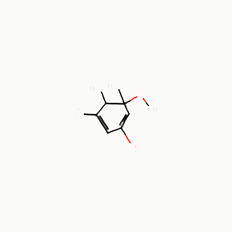 COC1(C)C=C(O)C=C(C)C1C